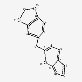 c1cc2ccc(Cc3ccc4c(c3)OCO4)oc-2c1